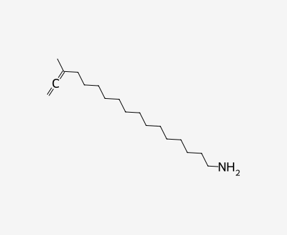 C=C=C(C)CCCCCCCCCCCCCCN